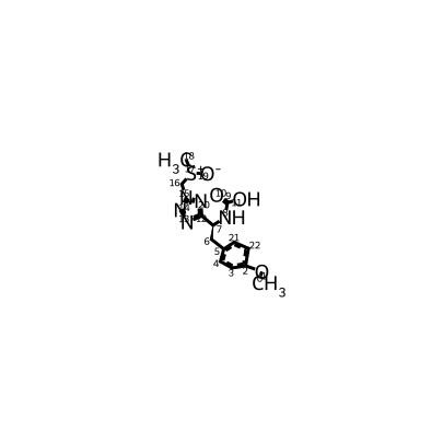 COc1ccc(C[C@H](NC(=O)O)c2nnn(C[S+](C)[O-])n2)cc1